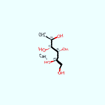 O=C[C@@H](O)[C@@H](O)[C@H](O)[C@H](O)CO.[CaH2]